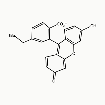 CC(C)(C)Cc1ccc(C(=O)O)c(-c2c3ccc(=O)cc-3oc3cc(O)ccc23)c1